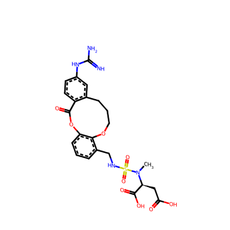 CN([C@@H](CC(=O)O)C(=O)O)S(=O)(=O)NCc1cccc2c1OCCCc1cc(NC(=N)N)ccc1C(=O)O2